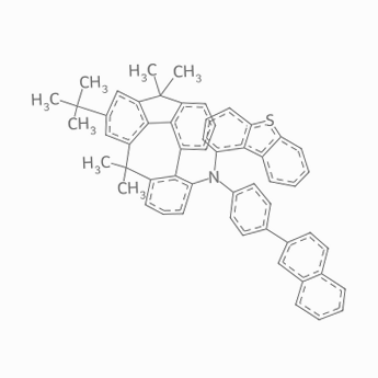 CC(C)(C)c1cc2c3c(c1)C(C)(C)c1cccc(N(c4ccc(-c5ccc6ccccc6c5)cc4)c4cccc5sc6ccccc6c45)c1-c1cccc(c1-3)C2(C)C